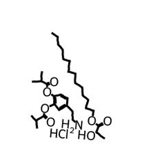 CC(C)C(=O)Oc1ccc(CCN)cc1OC(=O)C(C)C.CCCCCCCCCCCCCCOC(=O)C(C)O.Cl